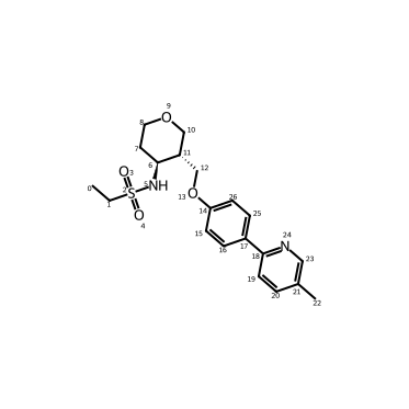 CCS(=O)(=O)N[C@H]1CCOC[C@@H]1COc1ccc(-c2ccc(C)cn2)cc1